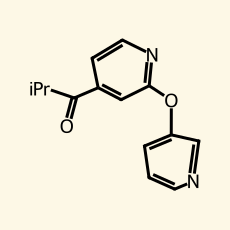 CC(C)C(=O)c1ccnc(Oc2cccnc2)c1